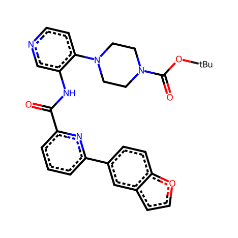 CC(C)(C)OC(=O)N1CCN(c2ccncc2NC(=O)c2cccc(-c3ccc4occc4c3)n2)CC1